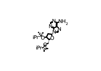 CC(C)[Si](C)(C)OC[C@H]1O[C@@H](n2cnc3c(N)ncnc32)CC1O[Si](C)(C)C(C)C